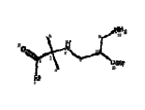 CCC(=O)C(C)(C)NCC(CN)OC